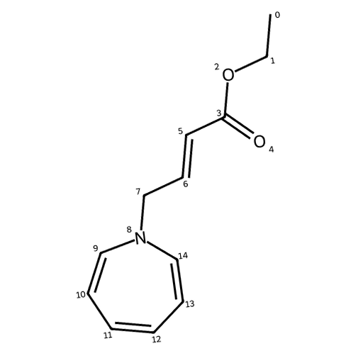 CCOC(=O)/C=C/CN1C=CC=CC=C1